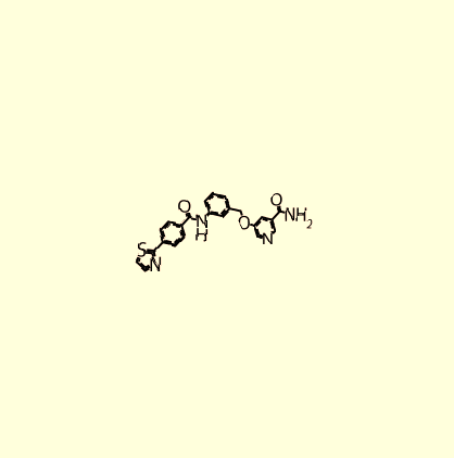 NC(=O)c1cncc(OCc2cccc(NC(=O)c3ccc(-c4nccs4)cc3)c2)c1